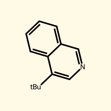 CC(C)(C)c1cncc2ccccc12